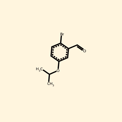 CC(C)Oc1ccc(Br)c(C=O)c1